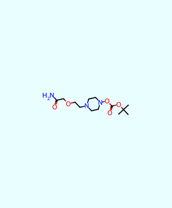 CC(C)(C)OC(=O)ON1CCN(CCOCC(N)=O)CC1